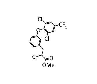 COC(=O)C(Cl)Cc1cccc(Oc2c(Cl)cc(C(F)(F)F)cc2Cl)c1